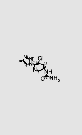 NC(=O)Nc1cnc(-n2ccnn2)c(Cl)c1